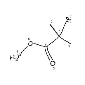 CC(C)(Br)C(=O)OP